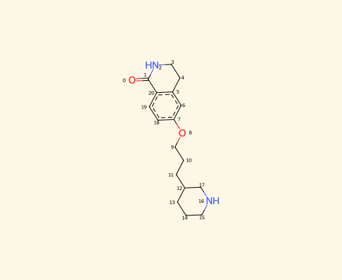 O=C1NCCc2cc(OCCCC3CCCNC3)ccc21